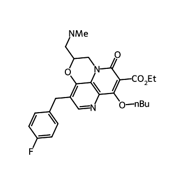 CCCCOc1c(C(=O)OCC)c(=O)n2c3c(c(Cc4ccc(F)cc4)cnc13)OC(CNC)C2